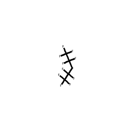 FC(F)(F)C(F)(F)[C]C(F)(F)C(F)(F)F